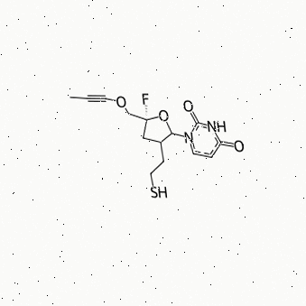 CC#COC[C@]1(F)CC(CCS)C(n2ccc(=O)[nH]c2=O)O1